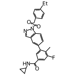 CCc1ccc(S(=O)(=O)n2ncc3cc(-c4cc(C(=O)NC5CC5)cc(F)c4C)ccc32)cc1